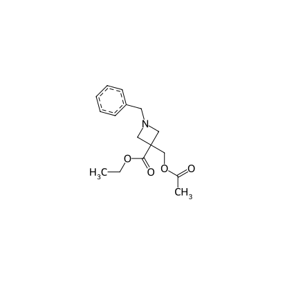 CCOC(=O)C1(COC(C)=O)CN(Cc2ccccc2)C1